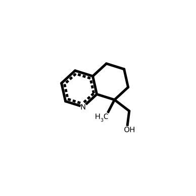 CC1(CO)CCCc2cccnc21